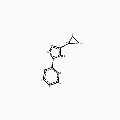 c1ccc(-c2nnc(C3CC3)[nH]2)cc1